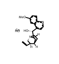 C=C[C@H]1C[N@]2CC[C@H]1C[C@H]2[C@H](O)c1ccnc2ccc(OC)cc12.Cl.[Co]